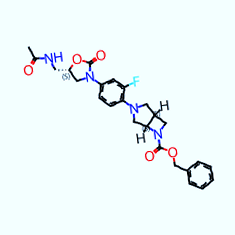 CC(=O)NC[C@H]1CN(c2ccc(N3C[C@@H]4CN(C(=O)OCc5ccccc5)[C@@H]4C3)c(F)c2)C(=O)O1